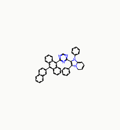 C1=CCN2C(=C1)N(c1ccccc1)C(c1ncnc(-c3c4ccccc4c(-c4ccc5ccccc5c4)c4ccccc34)n1)=C2c1ccccc1